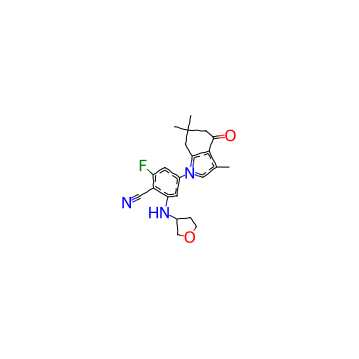 Cc1cn(-c2cc(F)c(C#N)c(NC3CCOC3)c2)c2c1C(=O)CC(C)(C)C2